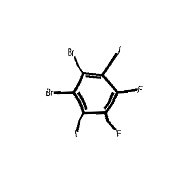 Fc1c(F)c(I)c(Br)c(Br)c1I